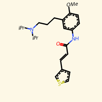 COc1ccc(NC(=O)C=Cc2ccsc2)cc1CCCN(C(C)C)C(C)C